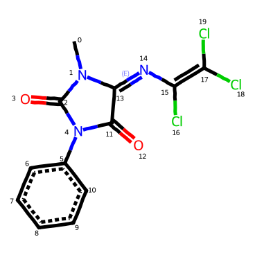 CN1C(=O)N(c2ccccc2)C(=O)/C1=N\C(Cl)=C(Cl)Cl